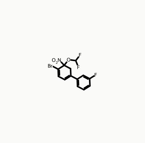 O=[N+]([O-])C1(OC(F)F)CC(c2cccc(F)c2)=CC=C1Br